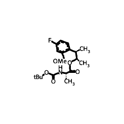 COc1cc(F)ccc1[C@@H](C)[C@@H](C)OC(=O)[C@H](C)NC(=O)OC(C)(C)C